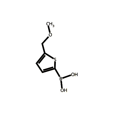 COCc1ccc(B(O)O)s1